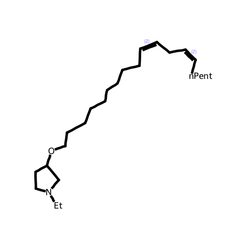 CCCCC/C=C\C/C=C\CCCCCCCCCOC1CCN(CC)C1